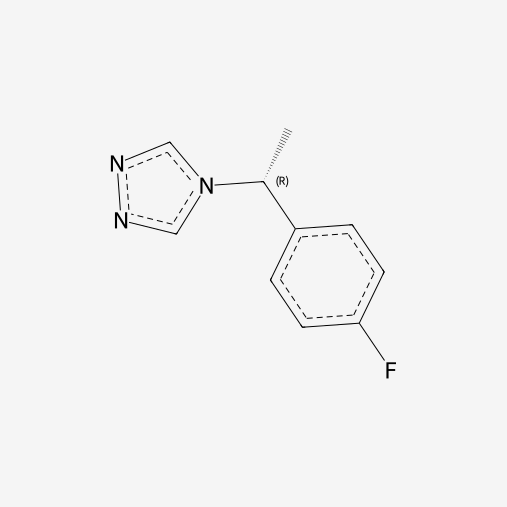 C[C@H](c1ccc(F)cc1)n1cnnc1